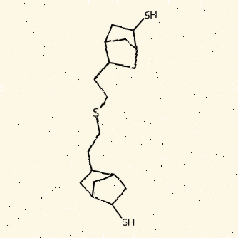 SC1CC2CC1CC2CCSCCC1CC2CC1CC2S